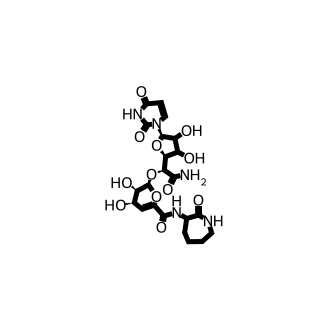 NC(=O)[C@H](O[C@H]1OC(C(=O)NC2CCCCNC2=O)=C[C@H](O)[C@@H]1O)[C@H]1O[C@@H](n2ccc(=O)[nH]c2=O)C(O)C1O